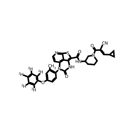 [2H]c1c([2H])c([2H])c(Oc2ccc(N3C(=O)Nc4c(C(=O)NC5CCCN(C(=O)C(C#N)=CC6CC6)C5)sc5nccc3c45)c(C)c2)c([2H])c1[2H]